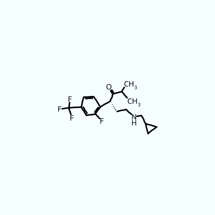 CC(C)C(=O)[C@H](CCNCC1CC1)c1ccc(C(F)(F)F)cc1F